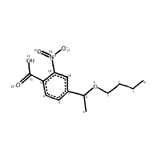 CCCCOC(C)c1ccc(C(=O)O)c([N+](=O)[O-])c1